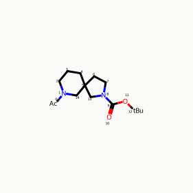 CC(=O)N1CCCC2(CCN(C(=O)OC(C)(C)C)C2)C1